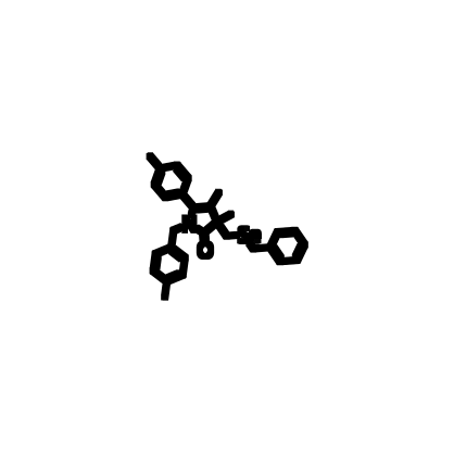 CC1=C(c2ccc(C)cc2)N(Cc2ccc(C)cc2)C(=O)C1(C)C[Se]Cc1ccccc1